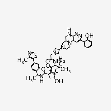 Cc1ncsc1-c1ccc([C@H](C)NC(=O)[C@@H]2C[C@@H](O)CN2C(=O)[C@@H](NC(=O)CN2CC(N3CCN4c5cc(-c6ccccc6O)nnc5NCC4C3)C2)C(C)(C)C)cc1